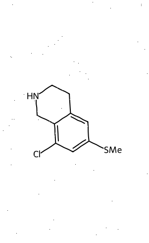 CSc1cc(Cl)c2c(c1)CCNC2